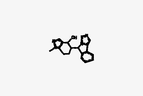 Cn1ncc2c1CCC(C1c3ccccc3-c3cncn31)C2O